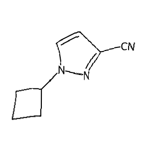 N#Cc1ccn(C2CCC2)n1